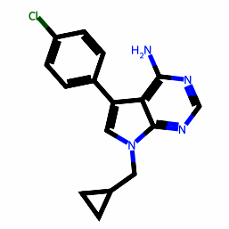 Nc1ncnc2c1c(-c1ccc(Cl)cc1)cn2CC1CC1